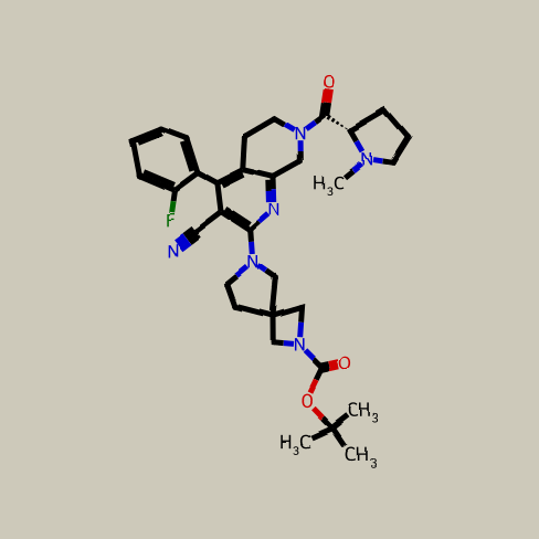 CN1CCC[C@H]1C(=O)N1CCc2c(nc(N3CCC4(CN(C(=O)OC(C)(C)C)C4)C3)c(C#N)c2-c2ccccc2F)C1